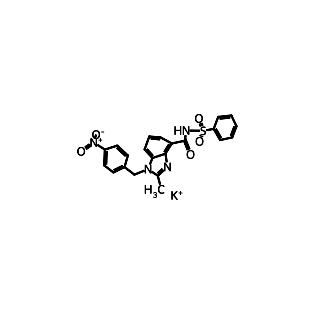 Cc1nc2c(C(=O)NS(=O)(=O)c3ccccc3)cccc2n1Cc1ccc([N+](=O)[O-])cc1.[K+]